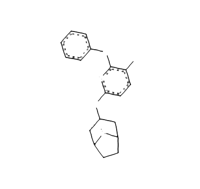 O=C(O)N1C2CCC1CC(Oc1ccc(Cl)c(Oc3ccccc3)n1)C2